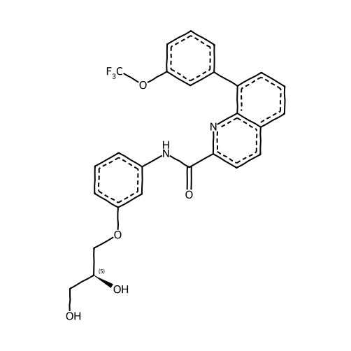 O=C(Nc1cccc(OC[C@@H](O)CO)c1)c1ccc2cccc(-c3cccc(OC(F)(F)F)c3)c2n1